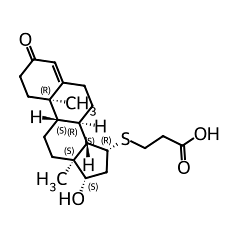 C[C@]12CC[C@H]3[C@@H](CCC4=CC(=O)CC[C@@]43C)[C@@H]1[C@H](SCCC(=O)O)C[C@@H]2O